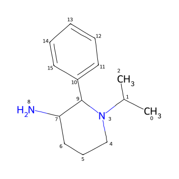 CC(C)N1CCCC(N)C1c1ccccc1